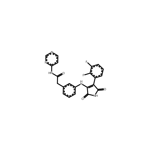 O=C(Cc1cccc(NC2=C(c3cccc(F)c3F)C(=O)NC2=O)c1)Nc1ccncn1